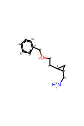 NCC1CC1CCOCc1ccccc1